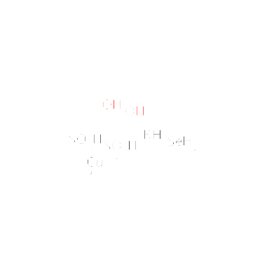 O=S(=O)(O)O.O=S(=O)(O)O.[Cu].[KH].[SeH2]